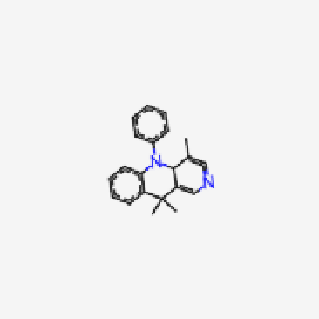 CC1=C=NC=C2C1N(c1ccccc1)c1ccccc1C2(C)C